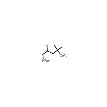 CNC[C@@H](C)CC(C)(C)OC